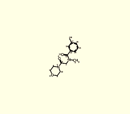 CN(CC(=O)N1CCOCC1)C(=O)c1cccc(I)c1